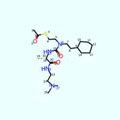 CC(=O)SCCN(CCC1CCCCC1)C(=O)N[C@@H](C)C(=O)NCCN(C)C